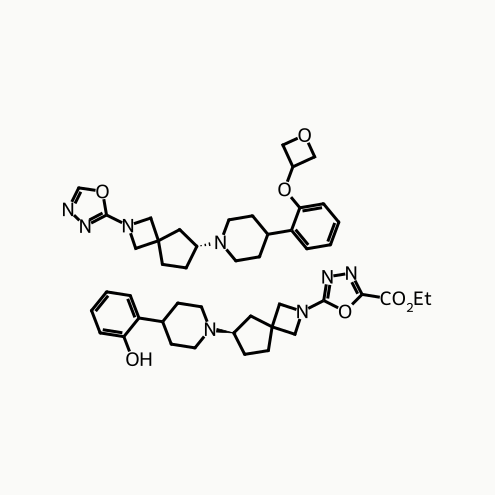 CCOC(=O)c1nnc(N2CC3(CC[C@@H](N4CCC(c5ccccc5O)CC4)C3)C2)o1.c1ccc(C2CCN([C@@H]3CCC4(C3)CN(c3nnco3)C4)CC2)c(OC2COC2)c1